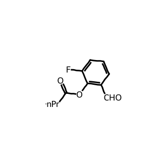 CC[CH]C(=O)Oc1c(F)cccc1C=O